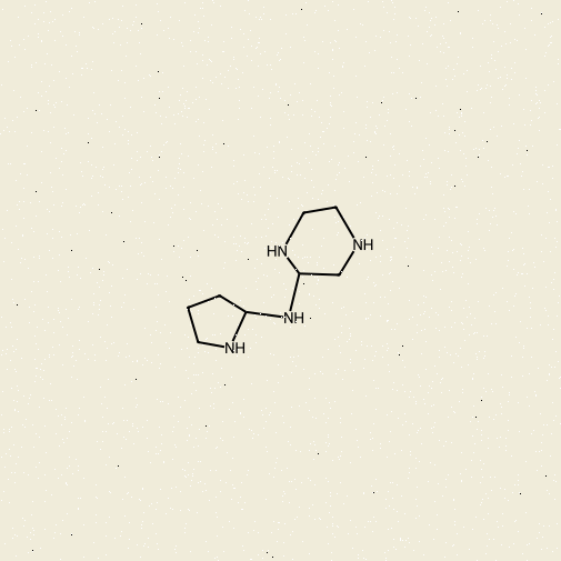 C1CNC(NC2CNCCN2)C1